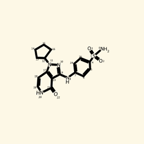 NS(=O)(=O)c1ccc(Nc2nn(C3CCCC3)c3cc[nH]c(=O)c23)cc1